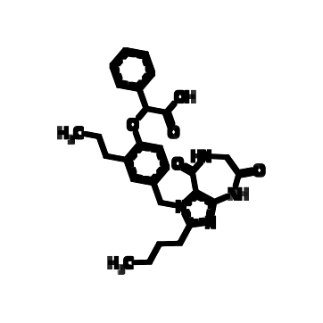 CCCCc1nc2c(n1Cc1ccc(OC(C(=O)O)c3ccccc3)c(CCC)c1)C(=O)NCC(=O)N2